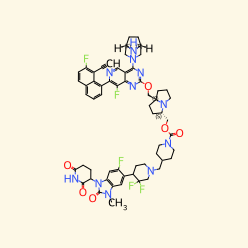 C#Cc1c(F)ccc2cccc(-c3ncc4c(N5C[C@H]6CC[C@@H](C5)N6)nc(OC[C@@]56CCCN5[C@H](COC(=O)N5CCC(CN7CCC(c8cc9c(cc8F)n(C8CCC(=O)NC8=O)c(=O)n9C)C(F)(F)C7)CC5)CC6)nc4c3F)c12